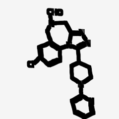 O=CN1Cc2cc(Cl)ccc2-n2c(nnc2C2CCN(c3ccccn3)CC2)C1